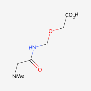 CNCC(=O)NCOCC(=O)O